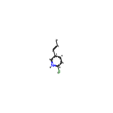 [CH2]C=Cc1ccc(F)nc1